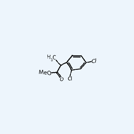 COC(=O)C(C)c1ccc(Cl)cc1Cl